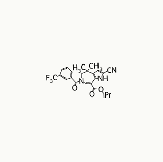 CC(C)OC(=O)C1=CN(C(=O)c2cccc(C(F)(F)F)c2)CC(C)(C)c2cc(C#N)[nH]c21